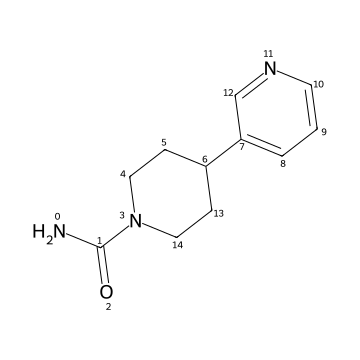 NC(=O)N1CCC(c2cccnc2)CC1